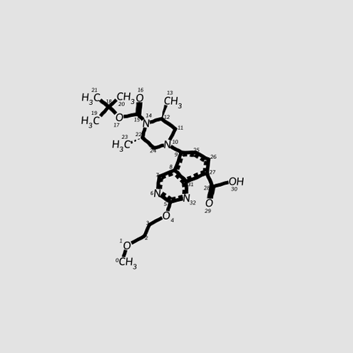 COCCOc1ncc2c(N3C[C@H](C)N(C(=O)OC(C)(C)C)[C@@H](C)C3)ccc(C(=O)O)c2n1